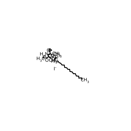 CCCCCCCCCCCCCCCCCCNC(=O)O[N+]1(CC)C(C)=C(C(=O)OC)C(N)=C(C2CCO2)C1C.[I-]